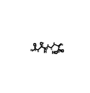 C=C(CCCNC(=O)CC(C)=O)C(=O)O